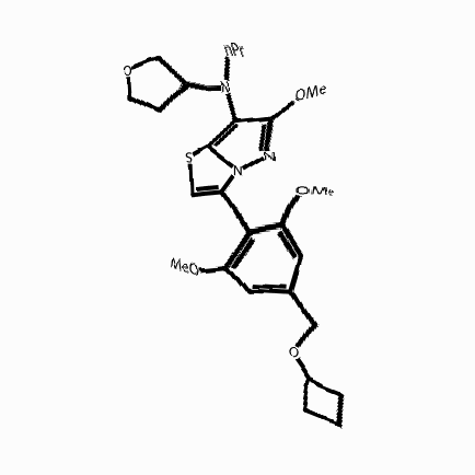 CCCN(c1c(OC)nn2c(-c3c(OC)cc(COC4CCC4)cc3OC)csc12)C1CCOC1